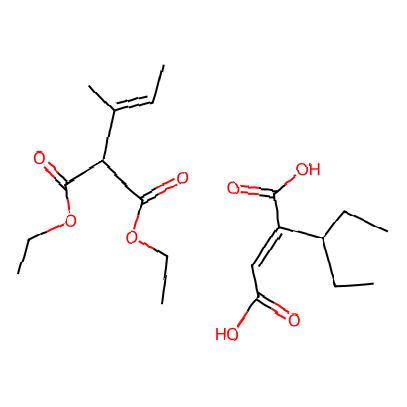 C/C=C(\C)C(C(=O)OCC)C(=O)OCC.CCC(CC)/C(=C\C(=O)O)C(=O)O